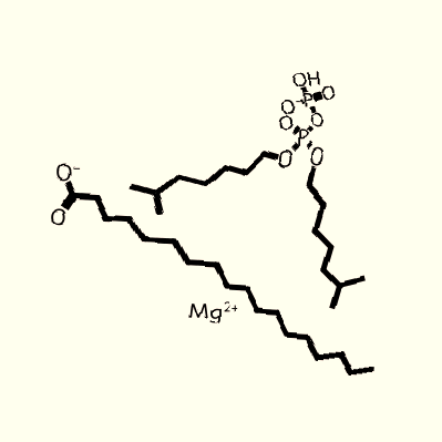 CC(C)CCCCCOP(=O)(OCCCCCC(C)C)OP(=O)([O-])O.CCCCCCCCCCCCCCCCCC(=O)[O-].[Mg+2]